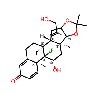 C=C(CO)[C@@]12OC(C)(C)OC1C[C@H]1[C@@H]3CCC4=CC(=O)C=C[C@]4(C)[C@@]3(F)[C@@H](O)C[C@@]12C